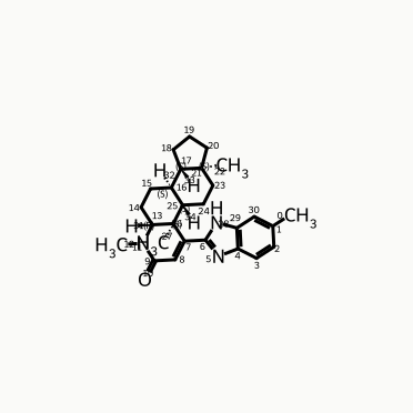 Cc1ccc2nc(C3=CC(=O)N(C)[C@@H]4CC[C@H]5[C@@H]6CCC[C@@]6(C)CC[C@@H]5[C@@]34C)[nH]c2c1